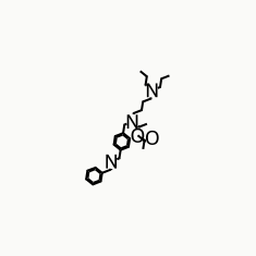 CCCN(CCC)CCCCN(Cc1ccc(CN=Cc2ccccc2)cc1)C(C)OC(C)=O